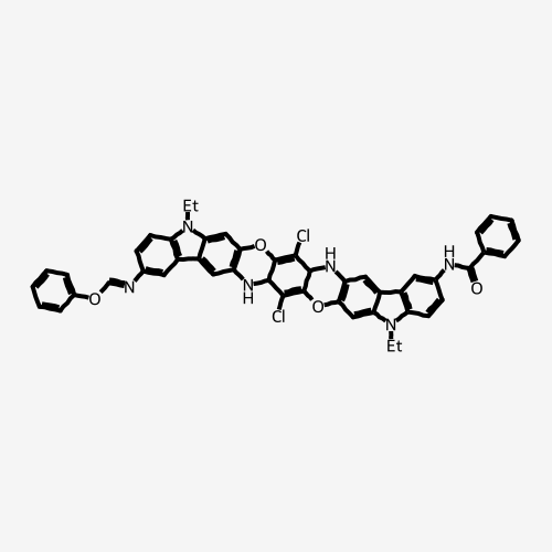 CCn1c2ccc(N=COc3ccccc3)cc2c2cc3c(cc21)OC1=C(Cl)C2Nc4cc5c6cc(NC(=O)c7ccccc7)ccc6n(CC)c5cc4OC2=C(Cl)C1N3